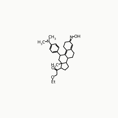 CCOCC(=O)C1CCC2C3CCC4=CC(=NO)CCC4=C3C(c3ccc(N(C)C)cc3)CC12C